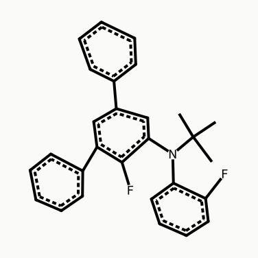 CC(C)(C)N(c1ccccc1F)c1cc(-c2ccccc2)cc(-c2ccccc2)c1F